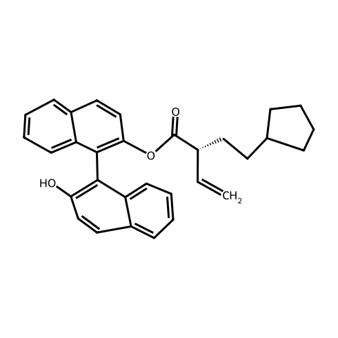 C=C[C@@H](CCC1CCCC1)C(=O)Oc1ccc2ccccc2c1-c1c(O)ccc2ccccc12